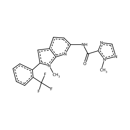 Cn1ncnc1C(=O)Nc1ccc2cc(-c3ccccc3C(F)(F)F)n(C)c2n1